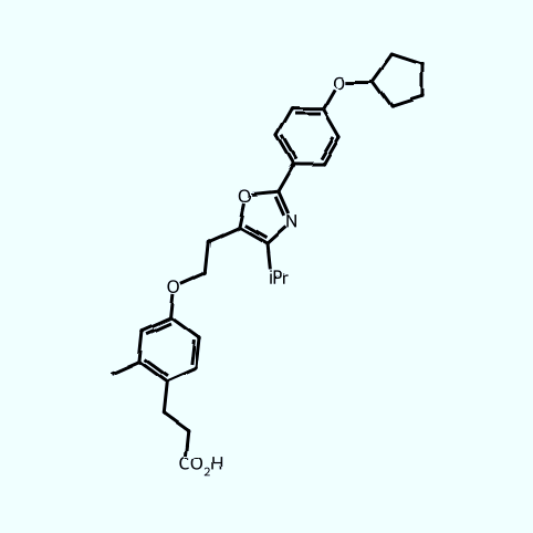 Cc1cc(OCCc2oc(-c3ccc(OC4CCCC4)cc3)nc2C(C)C)ccc1CCC(=O)O